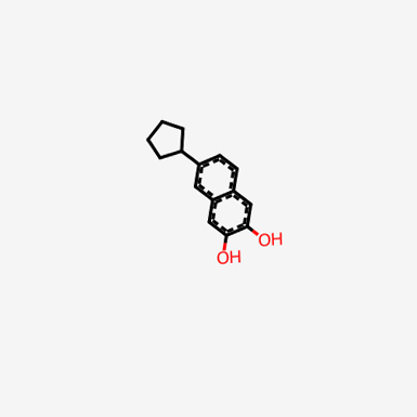 Oc1cc2ccc(C3CCCC3)cc2cc1O